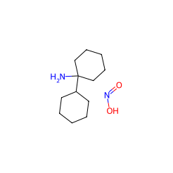 NC1(C2CCCCC2)CCCCC1.O=NO